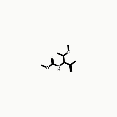 C=C(C)C(NC(=O)OC)C(C)OC